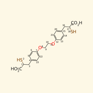 O=C(O)C(S)Cc1ccc(OCCOc2ccc(CC(S)C(=O)O)cc2)cc1